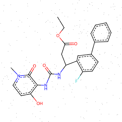 CCOC(=O)CC(NC(=O)Nc1c(O)ccn(C)c1=O)c1cc(-c2ccccc2)ccc1F